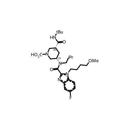 COCCCCn1c(C(=O)N(CC(C)C)[C@H]2C[C@@H](C(=O)NC(C)(C)C)CN(C(=O)O)C2)nc2cc(F)ccc21